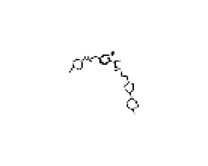 CC1CCC(OOCc2ccc(C(=O)OCCCC3CCC(C4CCC(C)CC4)CC3)c(F)c2)CC1